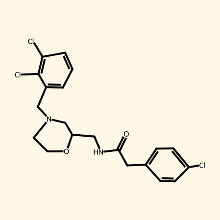 O=C(Cc1ccc(Cl)cc1)NCC1CN(Cc2cccc(Cl)c2Cl)CCO1